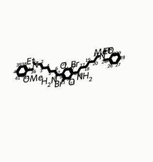 CCN(CCCCCC(N)C1=C(Br)C(=O)C(C(N)CCCCCN(CC)Cc2ccccc2OC)=C(Br)C1=O)Cc1ccccc1OC